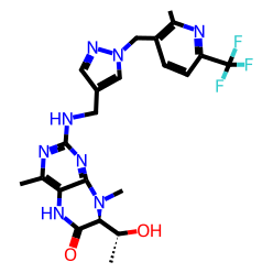 Cc1nc(C(F)(F)F)ccc1Cn1cc(CNc2nc(C)c3c(n2)N(C)[C@@H]([C@@H](C)O)C(=O)N3)cn1